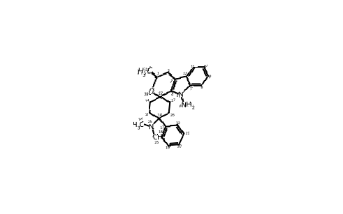 CC1Cc2c(n(N)c3ccccc23)C2(CCC(c3ccccc3)(N(C)C)CC2)O1